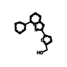 OCc1ccc(-c2cc3cccc(-c4ccccc4)n3n2)o1